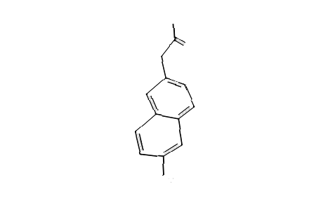 COc1ccc2cc(CC(=O)C(C)C)ccc2c1